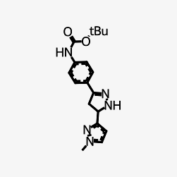 Cn1ccc(C2CC(c3ccc(NC(=O)OC(C)(C)C)cc3)=NN2)n1